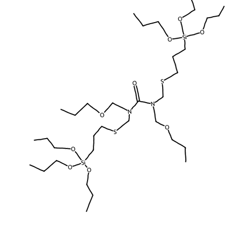 CCCOCN(CSCCC[Si](OCCC)(OCCC)OCCC)C(=O)N(COCCC)CSCCC[Si](OCCC)(OCCC)OCCC